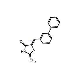 C=c1[nH]c(=O)/c(=C/c2cccc(-c3ccccc3)c2)s1